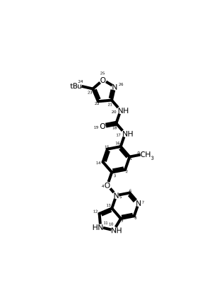 Cc1cc(ON2C=NC=C3NNC=C32)ccc1NC(=O)Nc1cc(C(C)(C)C)on1